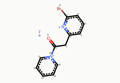 O=C(Cc1cccc(Br)n1)[n+]1ccccc1.[I-]